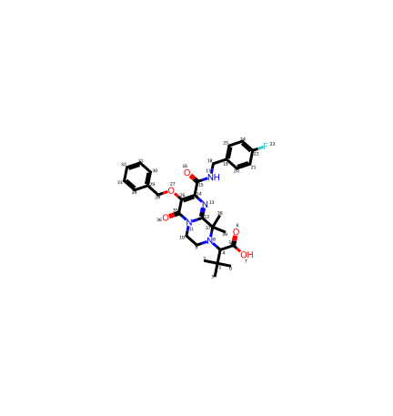 CC(C)(C)C(C(=O)O)N1CCn2c(nc(C(=O)NCc3ccc(F)cc3)c(OCc3ccccc3)c2=O)C1(C)C